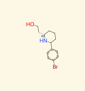 OCC[C@@H]1CCCC(c2ccc(Br)cc2)N1